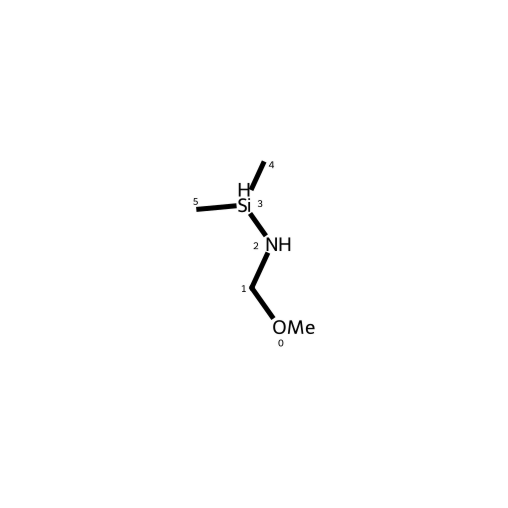 COCN[SiH](C)C